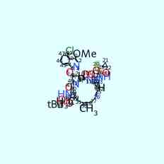 COc1cnc(O[C@@H]2C[C@H]3C(=O)N[C@]4(C(=O)NS(=O)(=O)C5(F)CC5)C[C@H]4/C=C\CCC(C)C[C@@H](C)[C@H](NC(=O)OC(C)(C)C)C(=O)N3C2)c2cccc(Cl)c12